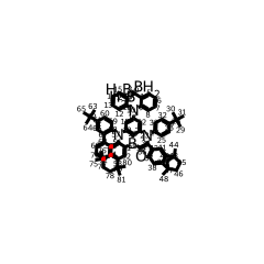 BC(B)(B)c1ccccc1N(c1ccccc1)c1cc2c3c(c1)N(c1ccc(C(C)(C)C)cc1)c1c(oc4cc5c(cc14)C1(C)CCC5(C)C1)B3c1cc3c(cc1N2c1ccc(C(C)(C)C)cc1-c1ccccc1)C(C)(C)CCC3(C)C